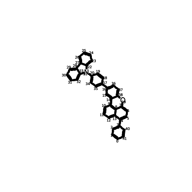 c1ccc(-c2ccc3c4c(cccc24)-c2cc(-c4ccc(-n5c6ccccc6c6ccccc65)cc4)ccc2O3)cc1